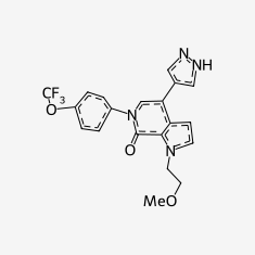 COCCn1ccc2c(-c3cn[nH]c3)cn(-c3ccc(OC(F)(F)F)cc3)c(=O)c21